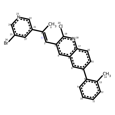 C/C(=C\c1cc2cc(-c3ccccc3C)ccc2nc1Cl)c1cncc(Br)c1